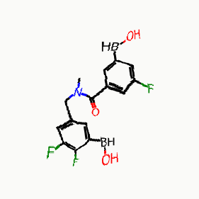 CN(Cc1cc(F)c(F)c(BO)c1)C(=O)c1cc(F)cc(BO)c1